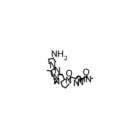 C=NN1C=C(C)C(N2CC[C@H](N)C2)=N/C1=C/C1CCCCN1C(=O)c1cc(C(=O)NC)nn1C